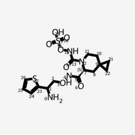 NC(CONC(=O)[C@@H]1CC2(CCN1C(=O)NOS(=O)(=O)O)CC2)c1cccs1